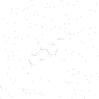 CCCCc1ccc2c(c1)C(C=O)c1ccccc1O2